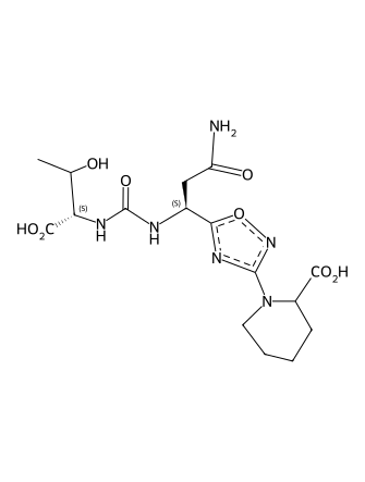 CC(O)[C@H](NC(=O)N[C@@H](CC(N)=O)c1nc(N2CCCCC2C(=O)O)no1)C(=O)O